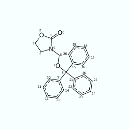 O=C1OCCN1COC(c1ccccc1)(c1ccccc1)c1ccccc1